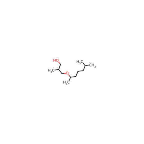 CC(C)CCCC(C)OCC(C)CO